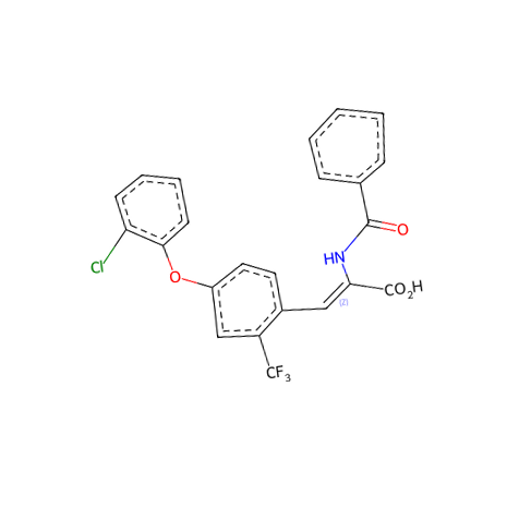 O=C(O)/C(=C/c1ccc(Oc2ccccc2Cl)cc1C(F)(F)F)NC(=O)c1ccccc1